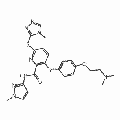 CN(C)CCOc1ccc(Sc2ccc(Sc3nncn3C)nc2C(=O)Nc2ccn(C)n2)cc1